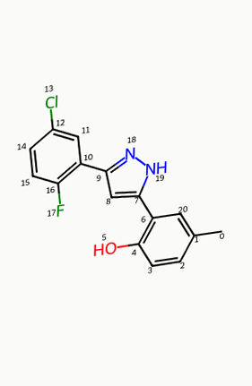 Cc1ccc(O)c(-c2cc(-c3cc(Cl)ccc3F)n[nH]2)c1